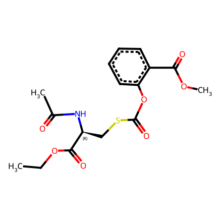 CCOC(=O)[C@H](CSC(=O)Oc1ccccc1C(=O)OC)NC(C)=O